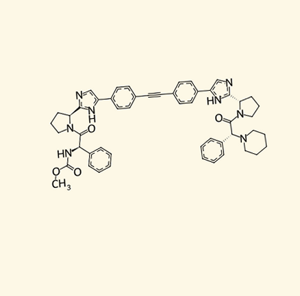 COC(=O)N[C@@H](C(=O)N1CCC[C@H]1c1ncc(-c2ccc(C#Cc3ccc(-c4cnc([C@@H]5CCCN5C(=O)[C@@H](c5ccccc5)N5CCCCC5)[nH]4)cc3)cc2)[nH]1)c1ccccc1